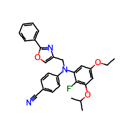 CCOc1cc(OC(C)C)c(F)c(N(Cc2coc(-c3ccccc3)n2)c2ccc(C#N)cc2)c1